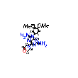 COc1ccc(-n2c(N)nc3c(N4CCOCC4)nc(N)nc32)cc1OC